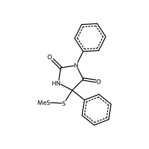 CSSC1(c2ccccc2)NC(=O)N(c2ccccc2)C1=O